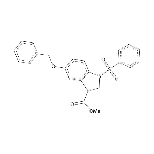 COC(=O)C1CN(S(=O)(=O)c2ccccc2)c2ccc(OCc3ccccc3)cc21